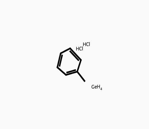 Cc1ccccc1.Cl.Cl.[GeH4]